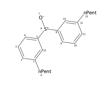 CCCCCc1cccc([S+]([O-])c2cccc(CCCCC)c2)c1